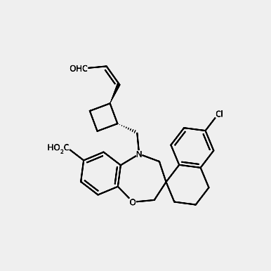 O=C/C=C\[C@@H]1CC[C@H]1CN1CC2(CCCc3cc(Cl)ccc32)COc2ccc(C(=O)O)cc21